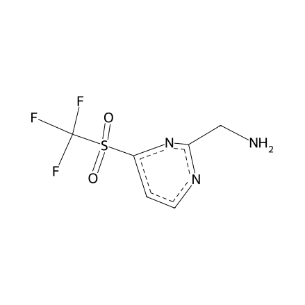 NCc1nccc(S(=O)(=O)C(F)(F)F)n1